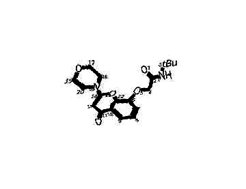 CC(C)(C)NC(=O)COc1cccc2c(=O)cc(N3CCOCC3)oc12